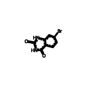 O=c1[nH]c(=O)c2ccc(Br)cc2[nH]1